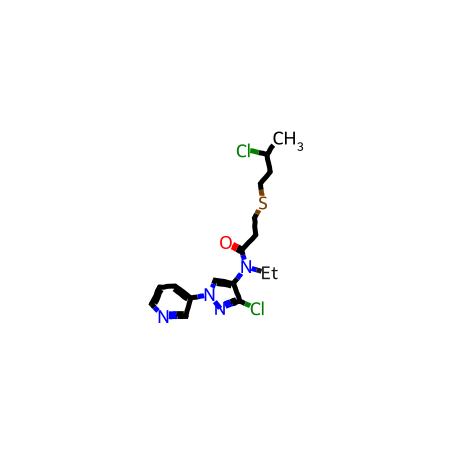 CCN(C(=O)CCSCCC(C)Cl)c1cn(-c2cccnc2)nc1Cl